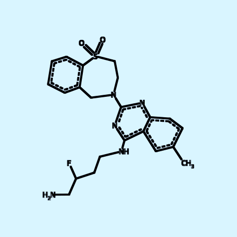 Cc1ccc2nc(N3CCS(=O)(=O)c4ccccc4C3)nc(NCCC(F)CN)c2c1